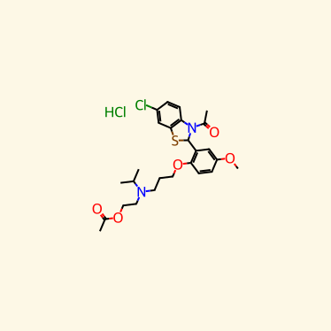 COc1ccc(OCCCN(CCOC(C)=O)C(C)C)c(C2Sc3cc(Cl)ccc3N2C(C)=O)c1.Cl